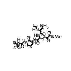 C=CN/C(=C\N)C(=O)N[C@@H](CCC(=O)C(=O)NC)C(=O)Nc1cccn(CC(=O)NS(C)(=O)=O)c1=O